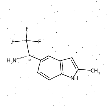 Cc1cc2cc([C@H](N)C(F)(F)F)ccc2[nH]1